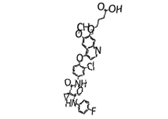 COc1cc2c(Oc3ccc(NC(=O)C4(C(=O)Nc5ccc(F)cc5)CC4)cc3Cl)ccnc2cc1OCCCC(=O)O